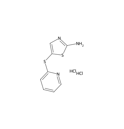 Cl.Cl.Nc1ncc(Sc2ccccn2)s1